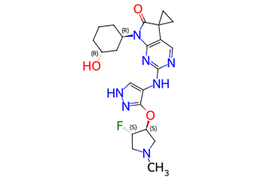 CN1C[C@H](Oc2n[nH]cc2Nc2ncc3c(n2)N([C@@H]2CCC[C@@H](O)C2)C(=O)C32CC2)[C@@H](F)C1